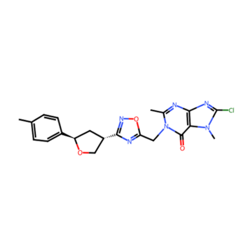 Cc1ccc([C@H]2C[C@H](c3noc(Cn4c(C)nc5nc(Cl)n(C)c5c4=O)n3)CO2)cc1